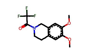 COc1cc2c(cc1OC)CN(C(=O)C(F)(F)F)CC2